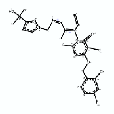 C=C/C(=C(C)\C=N/Cn1ccc(C(C)(C)O)n1)n1c(C)cc(OCc2ncc(F)cc2Cl)c(Cl)c1=O